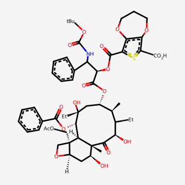 CCC1[C@@H](O)C(=O)[C@@]2(C)[C@H]([C@H](OC(=O)c3ccccc3)[C@@](O)(CC)C[C@H](OC(=O)[C@H](OC(=O)c3sc(C(=O)O)c4c3OCCCO4)C(NC(=O)OC(C)(C)C)c3ccccc3)[C@H]1C)[C@]1(COC(C)=O)CO[C@@H]1C[C@@H]2O